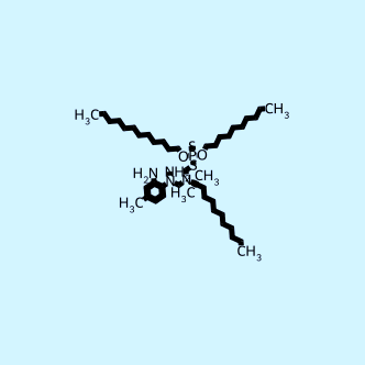 CCCCCCCCCCCCOP(=S)(OCCCCCCCCCC)SCN(CN(N)c1ccc(C)cc1N)C(C)(C)CCCCCCCCCC